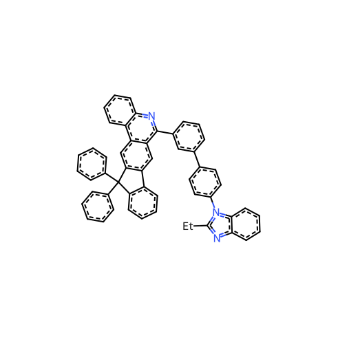 CCc1nc2ccccc2n1-c1ccc(-c2cccc(-c3nc4ccccc4c4cc5c(cc34)-c3ccccc3C5(c3ccccc3)c3ccccc3)c2)cc1